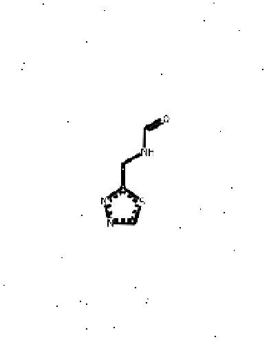 O=CNCc1nncs1